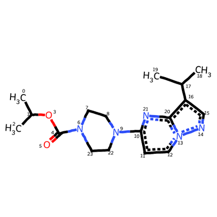 CC(C)OC(=O)N1CCN(c2ccn3ncc(C(C)C)c3n2)CC1